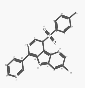 Cc1ccc(S(=O)(=O)C2C=NC(c3cccnc3)=C3N=c4cc(F)cnc4=C32)cc1